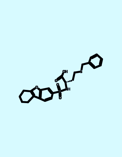 O=C(O)[C@H](CCSCc1ccccc1)NS(=O)(=O)c1ccc2c3c(oc2c1)CCCC3